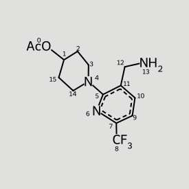 CC(=O)OC1CCN(c2nc(C(F)(F)F)ccc2CN)CC1